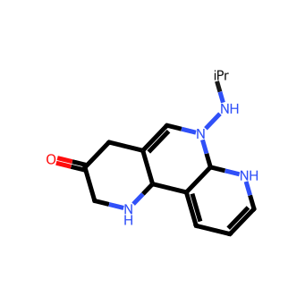 CC(C)NN1C=C2CC(=O)CNC2C2=CC=CNC21